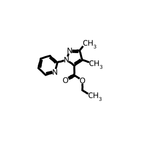 CCOC(=O)c1c(C)c(C)nn1-c1ccccn1